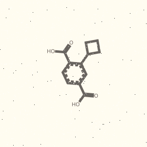 O=C(O)c1ccc(C(=O)O)c(C2CCC2)c1